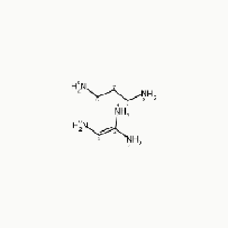 NC=C(N)N.NCCCN